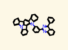 c1ccc(-c2nc(-c3cccc(-n4c5ccccc5c5cc6c7ccccc7n7c8ccccc8c(c54)c67)c3)nc3ccccc23)cc1